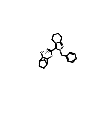 CCOC(=O)C1C2CCC(C2)C1NC(=O)c1c2c(nn1Cc1ccccc1)CCCC2